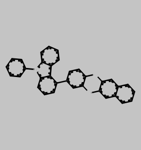 c1ccc(-n2c3ccccc3c3c(-c4ccc5c(c4)Oc4cc6ccccc6cc4O5)cccc32)cc1